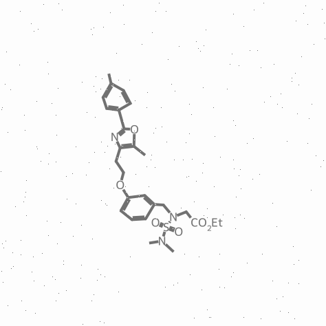 CCOC(=O)CN(Cc1cccc(OCCc2nc(-c3ccc(C)cc3)oc2C)c1)S(=O)(=O)N(C)C